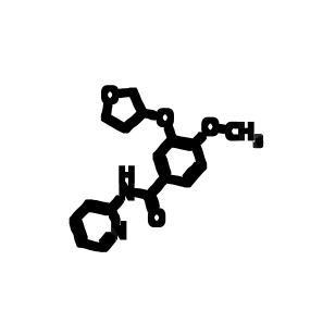 COc1ccc(C(=O)Nc2ccccn2)cc1OC1CCOC1